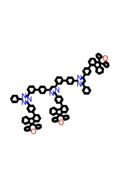 c1ccc(-c2cc(-c3ccc(-c4cccc5c4-c4ccccc4C54c5ccccc5Oc5ccccc54)cc3)nc(-c3ccc(-c4cccc(-c5cc(-c6ccc(-c7cccc(-c8nc(-c9ccccc9)nc(-c9ccc(-c%10cccc%11c%10-c%10ccccc%10C%11%10c%11ccccc%11Oc%11ccccc%11%10)cc9)n8)c7)cc6)nc(-c6ccc(-c7cccc8c7-c7ccccc7C87c8ccccc8Oc8ccccc87)cc6)n5)c4)cc3)n2)cc1